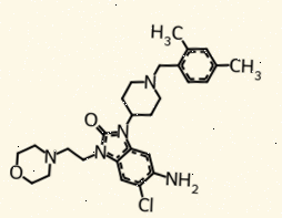 Cc1ccc(CN2CCC(n3c(=O)n(CCN4CCOCC4)c4cc(Cl)c(N)cc43)CC2)c(C)c1